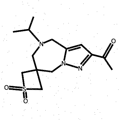 CC(=O)c1cc2n(n1)CC1(CN(C(C)C)C2)CS(=O)(=O)C1